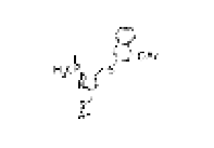 CPn1nc(CSC(C)=O)cc1CSc1cc(OC(C)=O)c2ccccc2c1